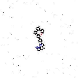 C1=Cc2ccc3ccc(-c4ccc(-c5ccc6c(c5)oc5ccccc5c5ccccc5c5ccccc65)cc4)nc3c2NC1